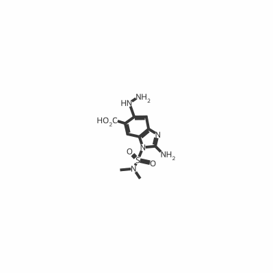 CN(C)S(=O)(=O)n1c(N)nc2cc(NN)c(C(=O)O)cc21